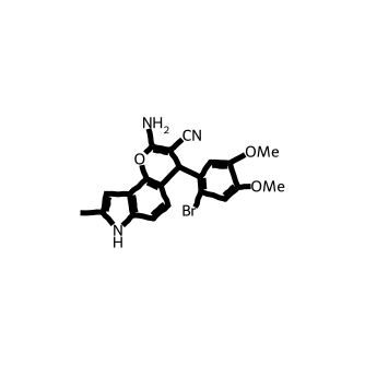 COc1cc(Br)c(C2C(C#N)=C(N)Oc3c2ccc2[nH]c(C)cc32)cc1OC